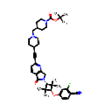 CC(C)(C)OC(=O)N1CCC(CN2CCC(C#Cc3ccc4c(n3)CN([C@H]3C(C)(C)[C@H](Oc5ccc(C#N)c(Cl)c5)C3(C)C)C4=O)CC2)CC1